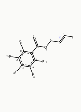 C/C=C/COC(=O)c1c(F)c(F)c(F)c(F)c1F